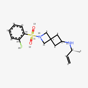 C=C[C@@H](C)NC1CC2(C1)CN(S(=O)(=O)c1ccccc1F)C2